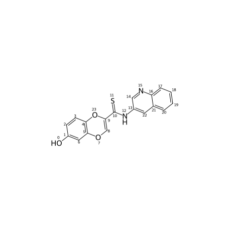 Oc1ccc2c(c1)OC=C(C(=S)Nc1cnc3ccccc3c1)O2